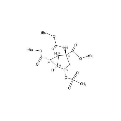 CC(C)(C)OC(=O)N[C@@]1(C(=O)OC(C)(C)C)C[C@H](OS(C)(=O)=O)[C@H]2[C@H](C(=O)OC(C)(C)C)[C@H]21